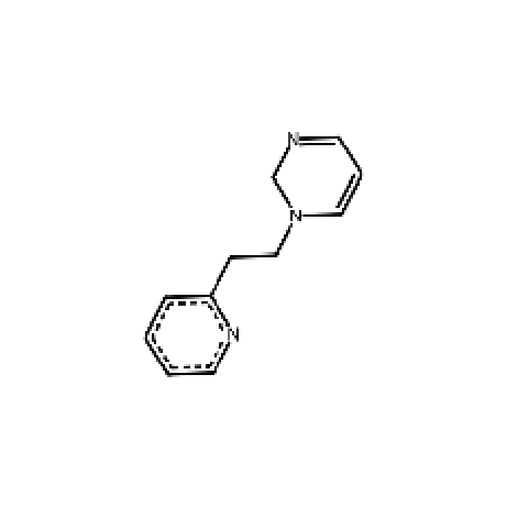 C1=CN(CCc2ccccn2)CN=C1